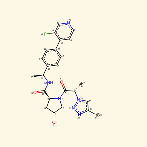 CC(C)[C@@H](C(=O)N1C[C@H](O)C[C@H]1C(=O)N[C@@H](C)c1ccc(-c2ccncc2F)cc1)n1cc(C(C)(C)C)nn1